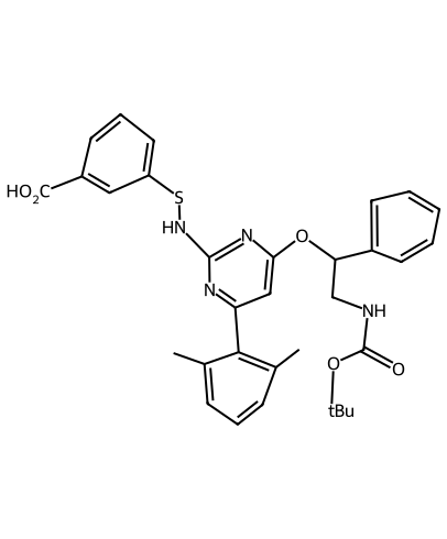 Cc1cccc(C)c1-c1cc(OC(CNC(=O)OC(C)(C)C)c2ccccc2)nc(NSc2cccc(C(=O)O)c2)n1